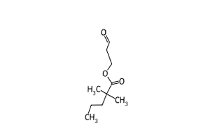 CCCC(C)(C)C(=O)OCCC=O